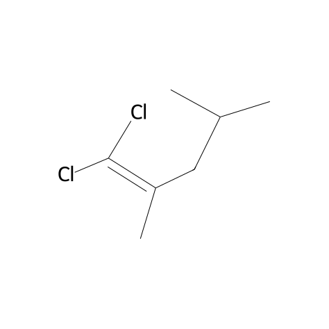 CC(CC(C)C)=C(Cl)Cl